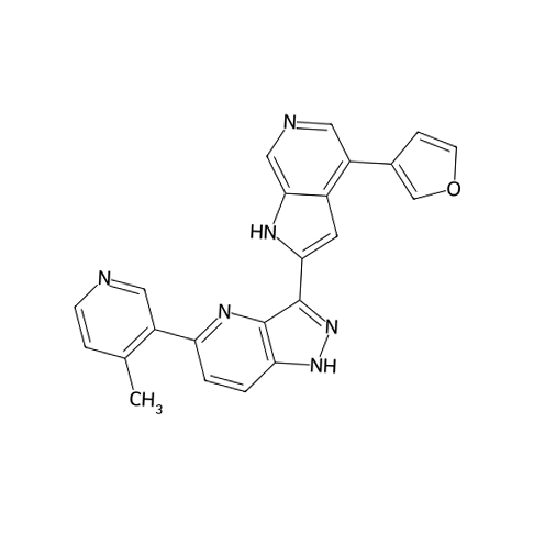 Cc1ccncc1-c1ccc2[nH]nc(-c3cc4c(-c5ccoc5)cncc4[nH]3)c2n1